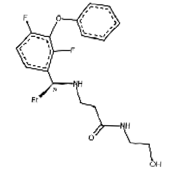 CC[C@H](NCCC(=O)NCCO)c1ccc(F)c(Oc2ccccc2)c1F